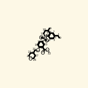 CCc1ccc2c(c1)C(C)CCN2S(=O)(=O)c1ccc(OCC2CCOCC2)c(C(=O)OC)c1